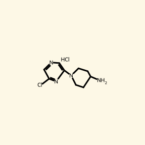 Cl.NC1CCN(c2cncc(Cl)n2)CC1